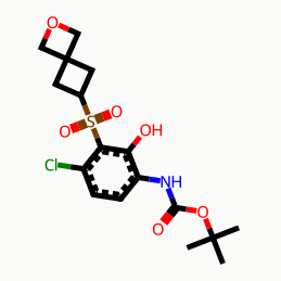 CC(C)(C)OC(=O)Nc1ccc(Cl)c(S(=O)(=O)C2CC3(COC3)C2)c1O